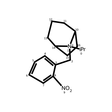 CC(C)[N+]1(Cc2ccccc2[N+](=O)[O-])C2C[CH]CC1CC2